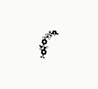 Cc1ccc(S(=O)(=O)NC(=O)Nc2ccc(-n3c(C)nc4cc(N(C)C)ccc4c3=O)cc2)s1